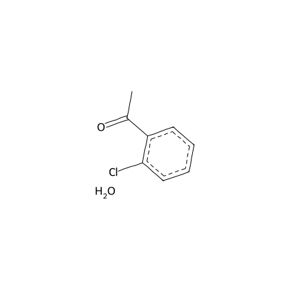 CC(=O)c1ccccc1Cl.O